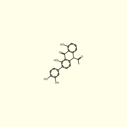 CC(=O)C1c2cccc(O)c2C(=O)c2c1ccc(-c1ccc(O)c(O)c1)c2O